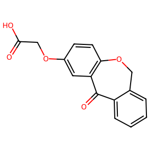 O=C(O)COc1ccc2c(c1)C(=O)c1ccccc1CO2